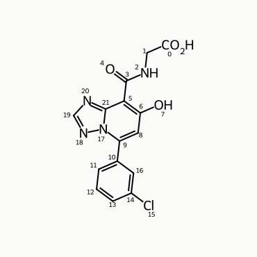 O=C(O)CNC(=O)c1c(O)cc(-c2cccc(Cl)c2)n2ncnc12